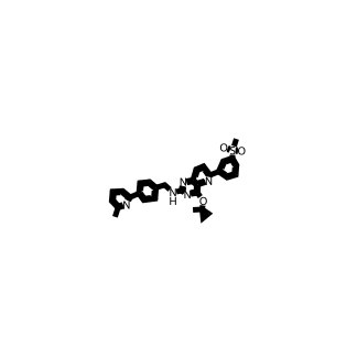 Cc1cccc(-c2ccc(CNc3nc(OC4(C)CC4)c4nc(-c5cccc(S(C)(=O)=O)c5)ccc4n3)cc2)n1